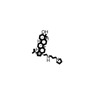 C=C(C)[C@@H]1CC[C@]2(CCNCCCN3CCCC3)CC[C@]3(C)[C@H](CC[C@@H]4[C@@]5(C)CC[C@H](O)C(C)(C)[C@@H]5CC[C@]43C)[C@@H]12